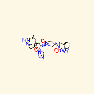 Cc1c[nH]ncccc(CC(NC(=O)N2CCC(N3Cc4ccccc4NC3=O)CC2)C(=O)N2CCN(C)CC2)c1